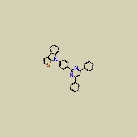 c1ccc(-c2cc(-c3ccccc3)nc(-c3ccc(-n4c5ccccc5c5ccsc54)cc3)n2)cc1